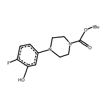 CC(C)(C)OC(=O)N1CCN(c2ccc(F)c(O)c2)CC1